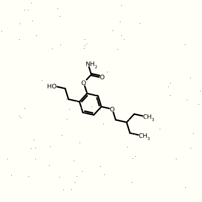 CCC(CC)COc1ccc([CH]CO)c(OC(N)=O)c1